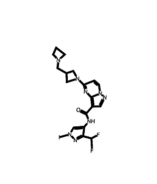 O=C(Nc1cn(I)nc1C(F)F)c1cnn2ccc(N3CC(CN4CCC4)C3)nc12